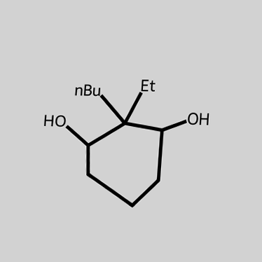 CCCCC1(CC)C(O)CCCC1O